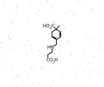 CC1(C(=O)O)C=CC(CNCCC(=O)O)=CC1